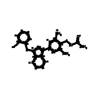 NC(=O)OCc1c(N)nc(-c2nn(Cc3ccccc3F)c3ncccc23)nc1N